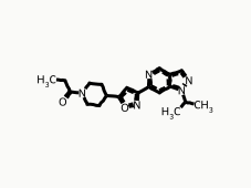 CCC(=O)N1CCC(c2cc(-c3cc4c(cn3)cnn4C(C)C)no2)CC1